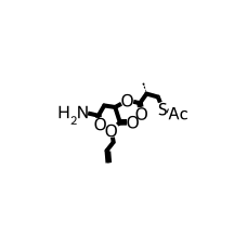 C=CCOC(=O)C(CC(N)=O)OC(=O)[C@H](C)CSC(C)=O